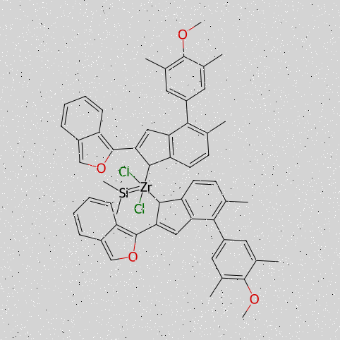 COc1c(C)cc(-c2c(C)ccc3c2C=C(c2occ4ccccc24)[CH]3[Zr]([Cl])([Cl])([CH]2C(c3occ4ccccc34)=Cc3c2ccc(C)c3-c2cc(C)c(OC)c(C)c2)=[Si](C)C)cc1C